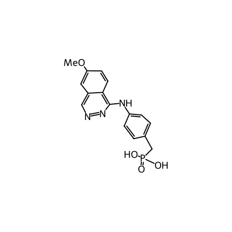 COc1ccc2c(Nc3ccc(CP(=O)(O)O)cc3)nncc2c1